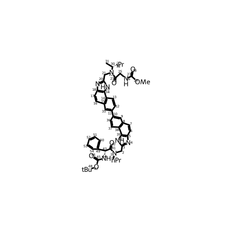 CCCN(Cc1nc2ccc3cc(-c4ccc5c(ccc6nc(CN(C(=O)CNC(=O)OC)[C@H](C)C(C)C)[nH]c65)c4)ccc3c2[nH]1)C(=O)[C@H](NC(=O)OC(C)(C)C)c1ccccc1